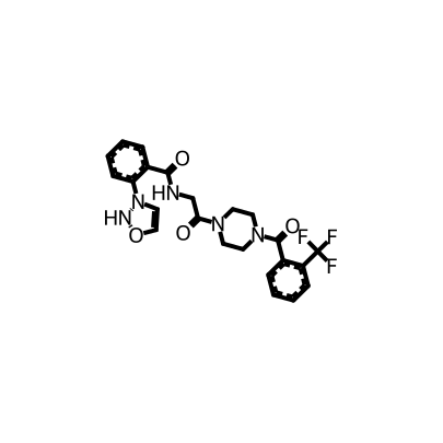 O=C(NCC(=O)N1CCN(C(=O)c2ccccc2C(F)(F)F)CC1)c1ccccc1N1C=CON1